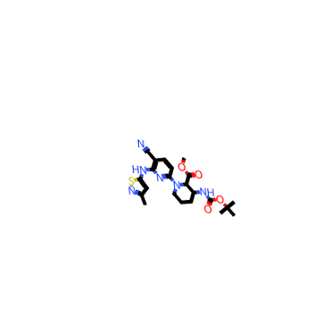 COC(=O)C1C(NC(=O)OC(C)(C)C)CCCN1c1ccc(C#N)c(Nc2cc(C)ns2)n1